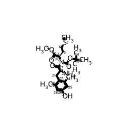 COC(=O)[C@@H](CCSC)N(C(=O)OC(C)(C)C)C(=O)[C@@H](N)Cc1c(C)cc(O)cc1C